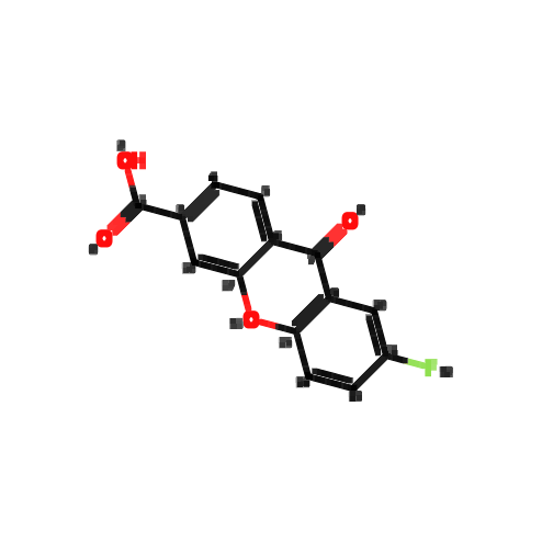 O=C(O)c1ccc2c(=O)c3cc(F)ccc3oc2c1